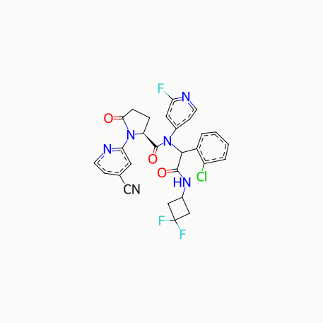 N#Cc1ccnc(N2C(=O)CC[C@H]2C(=O)N(c2ccnc(F)c2)C(C(=O)NC2CC(F)(F)C2)c2ccccc2Cl)c1